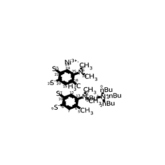 CCCC[N+](CCCC)(CCCC)CCCC.Cc1cc([S-])c([S-])cc1N(C)C.Cc1cc([S-])c([S-])cc1N(C)C.[Ni+3]